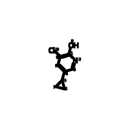 Oc1ncc(C2CC2)cc1Cl